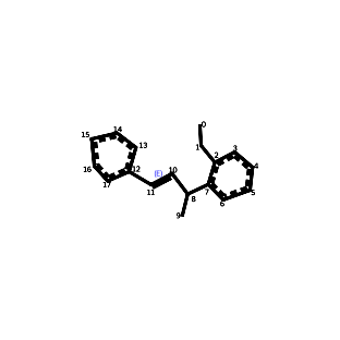 CCc1ccccc1C(C)/C=C/c1ccccc1